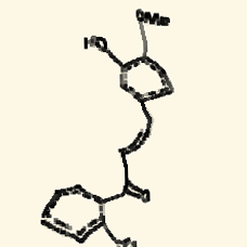 COc1ccc(C=CC(=O)c2ccccc2C(F)(F)F)cc1O